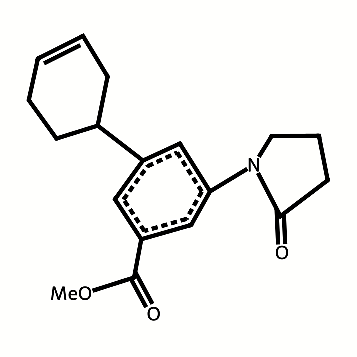 COC(=O)c1cc(C2CC=CCC2)cc(N2CCCC2=O)c1